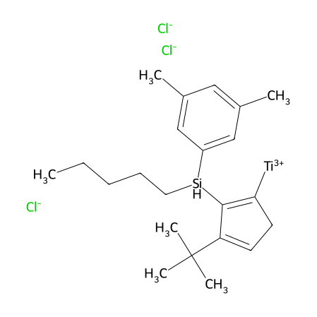 CCCCC[SiH](C1=[C]([Ti+3])CC=C1C(C)(C)C)c1cc(C)cc(C)c1.[Cl-].[Cl-].[Cl-]